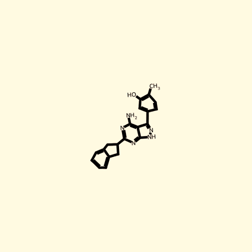 Cc1ccc(-c2n[nH]c3nc(C4Cc5ccccc5C4)nc(N)c23)cc1O